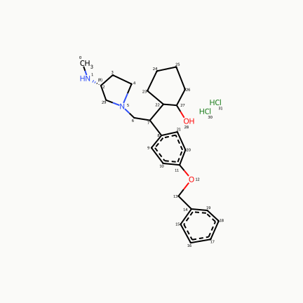 CN[C@@H]1CCN(CC(c2ccc(OCc3ccccc3)cc2)C2CCCCC2O)C1.Cl.Cl